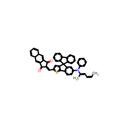 C/C=C\C=C(/C)N(c1ccccc1)c1ccc2c(c1)C1(c3ccccc3-c3ccccc31)c1cc(C=C3C(=O)C4=CC5C=CC=CC5C=C4C3=O)sc1-2